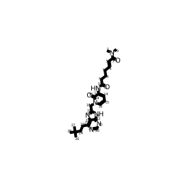 CN(C)C(=O)/C=C/CCCC(=O)Nc1cccn(Cc2nc3c(CCC(C)(C)C)ncnc3[nH]2)c1=O